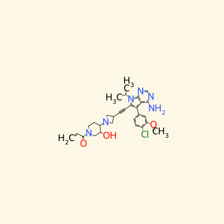 C=CC(=O)N1CC[C@@H](N2CC(C#Cc3c(-c4ccc(Cl)c(OC)c4)c4c(N)ncnc4n3C(C)C)C2)[C@@H](O)C1